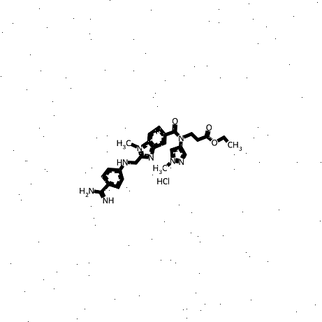 CCOC(=O)CCN(C(=O)c1ccc2c(c1)nc(CNc1ccc(C(=N)N)cc1)n2C)c1cnn(C)c1.Cl